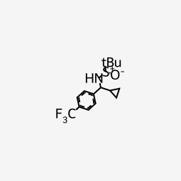 CC(C)(C)[S+]([O-])NC(c1ccc(C(F)(F)F)cc1)C1CC1